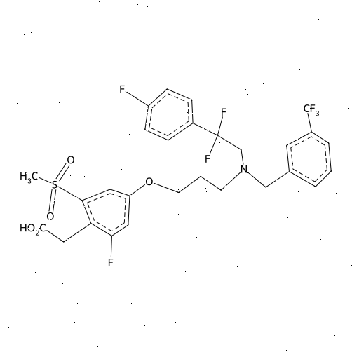 CS(=O)(=O)c1cc(OCCCN(Cc2cccc(C(F)(F)F)c2)CC(F)(F)c2ccc(F)cc2)cc(F)c1CC(=O)O